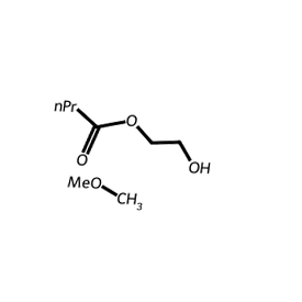 CCCC(=O)OCCO.COC